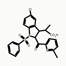 Cc1cccc(C(=O)C2C(C(C)C(=O)O)c3cc(Cl)ccc3N2S(=O)(=O)c2ccccc2)n1